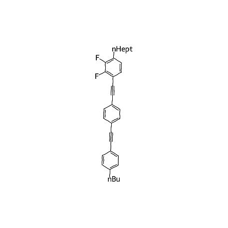 CCCCCCCc1ccc(C#Cc2ccc(C#Cc3ccc(CCCC)cc3)cc2)c(F)c1F